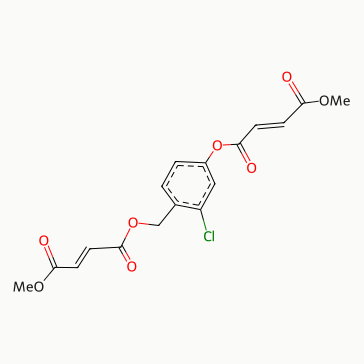 COC(=O)/C=C/C(=O)OCc1ccc(OC(=O)/C=C/C(=O)OC)cc1Cl